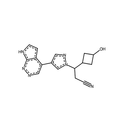 N#CCC(C1CC(O)C1)n1cc(-c2cnnc3[nH]ccc23)cn1